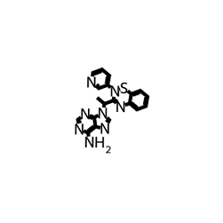 CC(C1=Nc2ccccc2SN1c1cccnc1)n1cnc2c(N)ncnc21